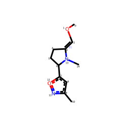 CO/C=C1\CCC(c2cc(C)no2)N1C